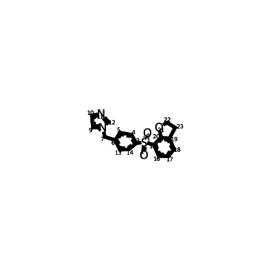 O=S(=O)(c1ccc(Cn2ccnc2)cc1)c1cccc2c1OCC2